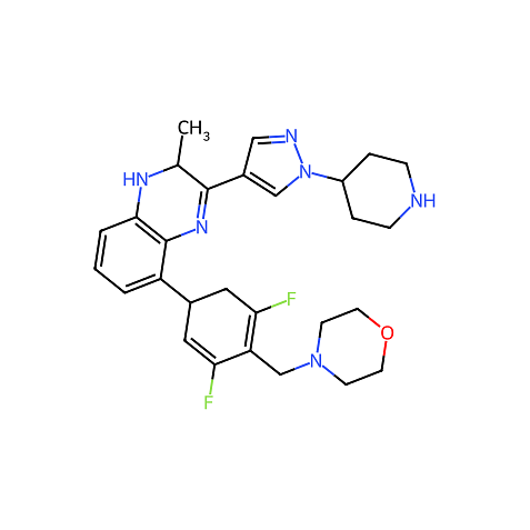 CC1Nc2cccc(C3C=C(F)C(CN4CCOCC4)=C(F)C3)c2N=C1c1cnn(C2CCNCC2)c1